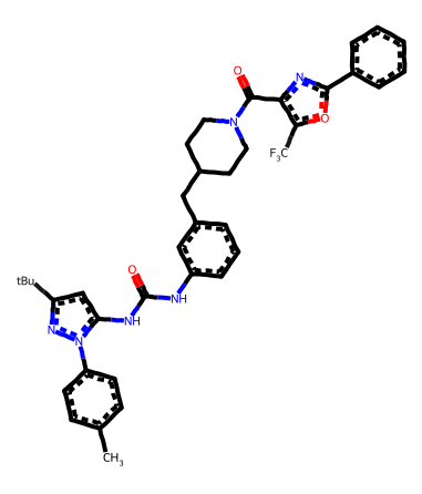 Cc1ccc(-n2nc(C(C)(C)C)cc2NC(=O)Nc2cccc(CC3CCN(C(=O)c4nc(-c5ccccc5)oc4C(F)(F)F)CC3)c2)cc1